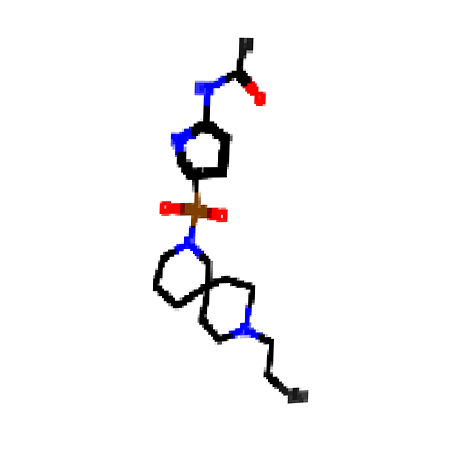 CCC(=O)Nc1ccc(S(=O)(=O)N2CCCC3(CCN(CCC(C)(C)C)CC3)C2)cn1